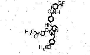 CCC(=O)N1CC[C@@H](Oc2nn(Cc3ccc(OC)cc3)c3nccc(Nc4ccc(C(=O)Nc5cc(C(F)(F)F)ccn5)cc4)c23)C1